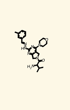 Cc1cccc(/C=N/Nc2nc3c(c(N4CCOCC4)n2)CN(C(=O)C(N)C(C)C)C3)c1